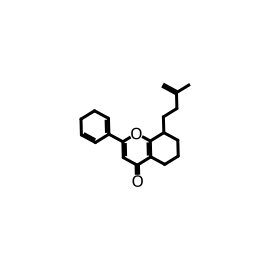 C=C(C)CCC1CCCc2c1oc(C1=CCCC=C1)cc2=O